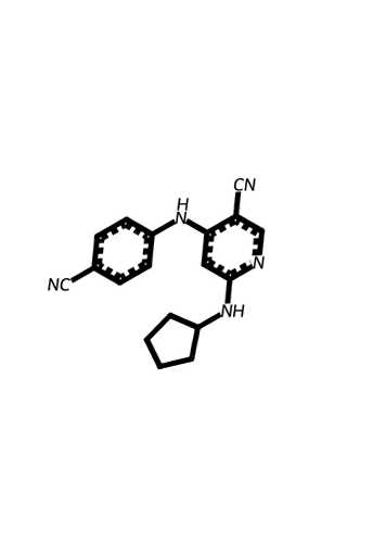 N#Cc1ccc(Nc2cc(NC3CCCC3)ncc2C#N)cc1